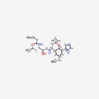 C=CC[C@H](NC(=O)COC)[C@H](O)CN[C@H]1CC2(CCC2)Oc2c(-c3cnc[nH]3)cc(CC(C)(C)C)cc21